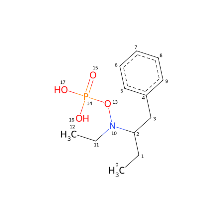 CCC(Cc1ccccc1)N(CC)OP(=O)(O)O